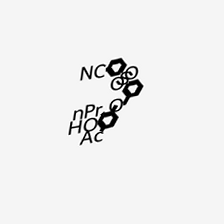 CCCc1c(OCc2cccc(S(=O)(=O)c3cccc(C#N)c3)c2)ccc(C(C)=O)c1O